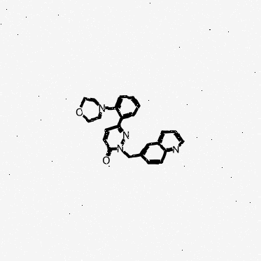 O=c1ccc(-c2ccccc2N2CCOCC2)nn1Cc1ccc2ncccc2c1